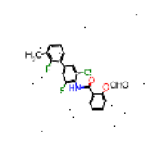 Cc1cccc(-c2cc(F)c(NC(=O)c3ccccc3OC=O)c(Cl)c2)c1F